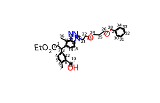 CCOC(=O)CC(c1ccc(C)c([C@H](C)O)c1)c1ccc2c(nnn2CCOCCCOCc2ccccc2)c1C